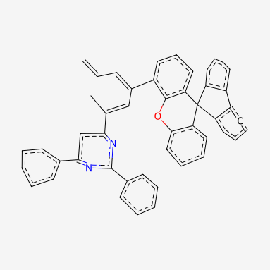 C=C/C=C(\C=C(/C)c1cc(-c2ccccc2)nc(-c2ccccc2)n1)c1cccc2c1Oc1ccccc1C21c2ccccc2-c2ccccc21